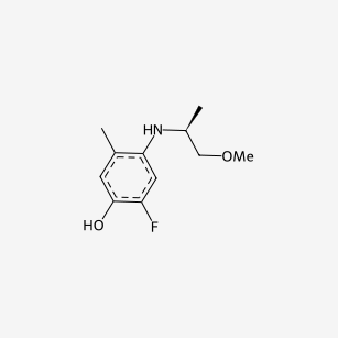 COC[C@H](C)Nc1cc(F)c(O)cc1C